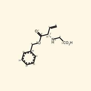 C=C[C@H](NCC(=O)O)C(=O)OCc1ccccc1